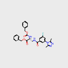 Cc1nnc(C)n1-c1cc(F)cc(C(=O)NC[C@@H](NC(=O)OCc2ccccc2)C(=O)OCc2ccccc2)c1